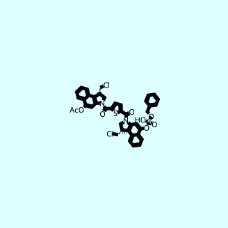 CC(=O)Oc1cc2c(c3ccccc13)[C@H](CCl)CN2C(=O)c1ccc(C(=O)N2C[C@@H](CCl)c3c2cc(OP(=O)(O)OCc2ccccc2)c2ccccc32)s1